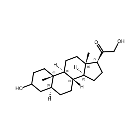 C[C@]12CCC(O)C[C@@H]1CC[C@@H]1[C@@H]2CC[C@]2(C)[C@@H](C(=O)CO)CC[C@@H]12